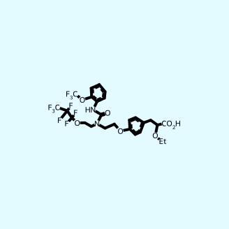 CCOC(Cc1ccc(OCCN(CCOC(F)(F)C(F)(F)C(F)(F)F)C(=O)Nc2ccccc2OC(F)(F)F)cc1)C(=O)O